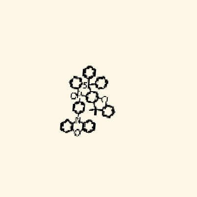 CC1(C)c2ccccc2Oc2cc3c(cc21)P(=O)(c1ccc(N2c4ccccc4Oc4ccccc42)cc1)c1ccccc1[Si]3(c1ccccc1)c1ccccc1